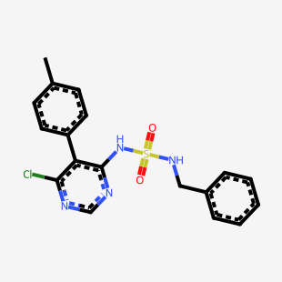 Cc1ccc(-c2c(Cl)ncnc2NS(=O)(=O)NCc2ccccc2)cc1